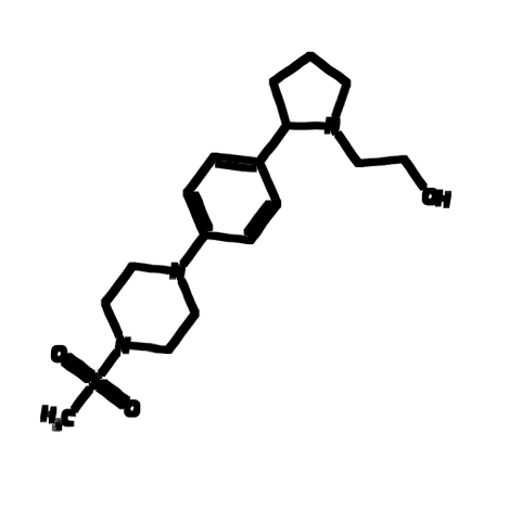 CS(=O)(=O)N1CCN(c2ccc(C3CCCN3CCO)cc2)CC1